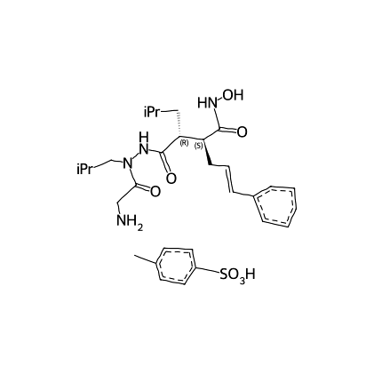 CC(C)C[C@@H](C(=O)NN(CC(C)C)C(=O)CN)[C@H](CC=Cc1ccccc1)C(=O)NO.Cc1ccc(S(=O)(=O)O)cc1